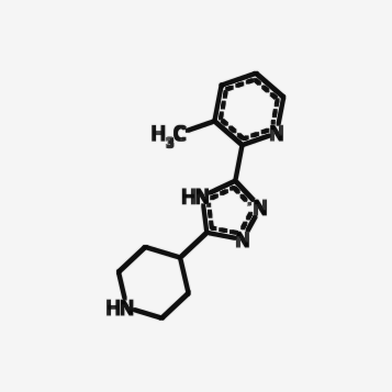 Cc1cccnc1-c1nnc(C2CCNCC2)[nH]1